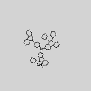 CC1(c2ccccc2)c2ccccc2-c2cc(N(c3ccc(-c4cc5ccccc5c5ccccc45)cc3)c3ccc4c(c3)c(-c3ccccc3)c(-c3ccccc3)c3ccccc34)ccc21